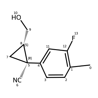 Cc1ccc([C@@]2(C#N)C[C@@H]2CO)cc1F